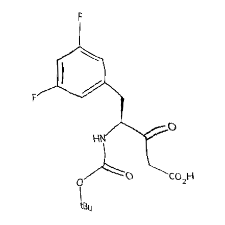 CC(C)(C)OC(=O)N[C@@H](Cc1cc(F)cc(F)c1)C(=O)CC(=O)O